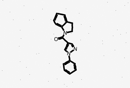 O=C(c1cnn(-c2ccccc2)c1)N1CCc2ccccc21